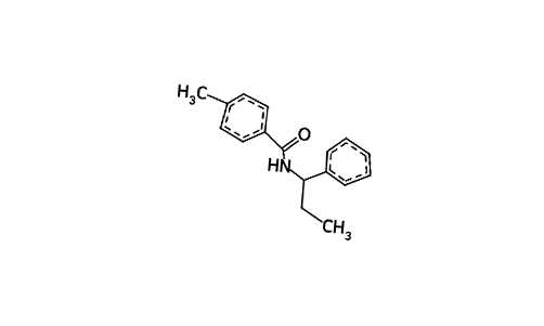 CCC(NC(=O)c1ccc(C)cc1)c1ccccc1